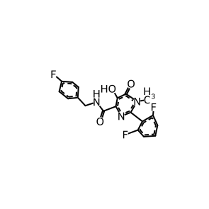 Cn1c(-c2c(F)cccc2F)nc(C(=O)NCc2ccc(F)cc2)c(O)c1=O